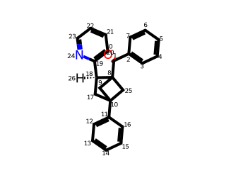 O=C(c1ccccc1)C12CC(c3ccccc3)(C[C@H]1c1ccccn1)C2